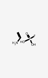 C=CN.O=P(O)(O)F